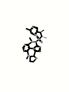 COc1ncnc(OC)c1-n1c(NS(=O)(=O)[C@@H](C)[C@H](C)c2cnc(C)cn2)nnc1C1CCCO1